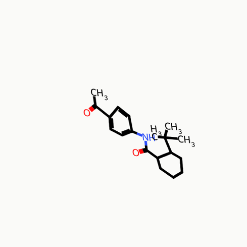 CC(=O)c1ccc(NC(=O)C2CCCCC2C(C)(C)C)cc1